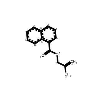 C=C(C)COC(=O)c1cccc2ccccc12